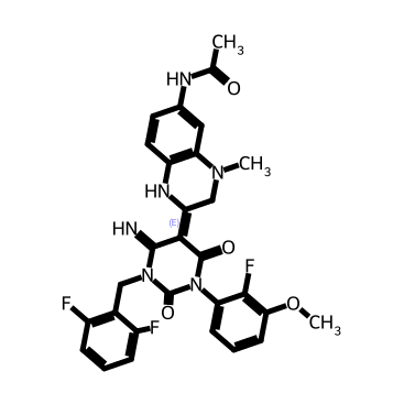 COc1cccc(N2C(=O)/C(=C3\CN(C)c4cc(NC(C)=O)ccc4N3)C(=N)N(Cc3c(F)cccc3F)C2=O)c1F